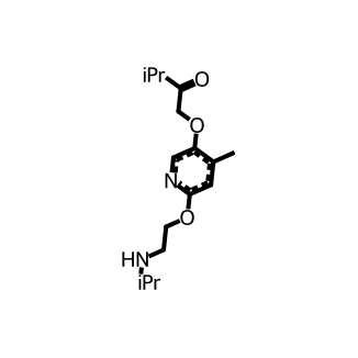 Cc1cc(OCCNC(C)C)ncc1OCC(=O)C(C)C